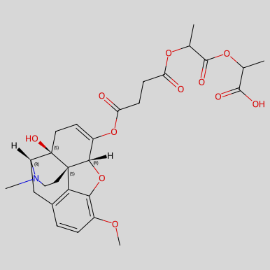 COc1ccc2c3c1O[C@H]1C(OC(=O)CCC(=O)OC(C)C(=O)OC(C)C(=O)O)=CC[C@@]4(O)[C@@H](C2)N(C)CC[C@]314